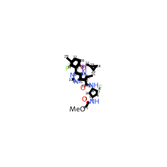 COCC(=O)N[C@H]1C[C@@H](F)[C@H](NC(=O)c2c(C)[nH]c3c(-c4c(OCC5CC5)ccc(C)c4F)ncnc23)C1